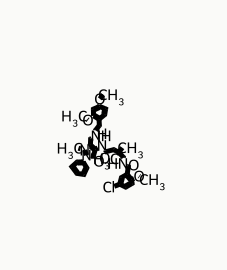 COc1ccc(CCNCc2c(NC(=O)CC(C)(C)CNC(=O)c3cc(Cl)ccc3OC)c(=O)n(-c3ccccc3)n2C)c(OC)c1